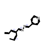 C=C/C=C(\C=C/C)/C=N/N=C/c1ccncc1